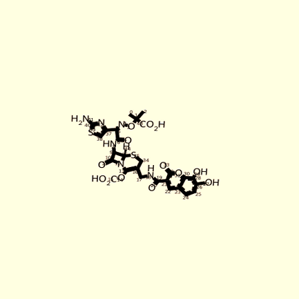 CC(C)(O/N=C(\C(=O)NC1C(=O)N2C(OC(=O)O)=C(CNC(=O)c3cc4ccc(O)c(O)c4oc3=O)CS[C@@H]12)c1csc(N)n1)C(=O)O